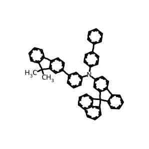 CC1(C)c2ccccc2-c2ccc(-c3cccc(N(c4ccc(-c5ccccc5)cc4)c4ccc5c(c4)C4(c6ccccc6-5)c5cccc6cccc4c56)c3)cc21